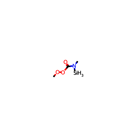 COOC(=O)N(C)[SiH3]